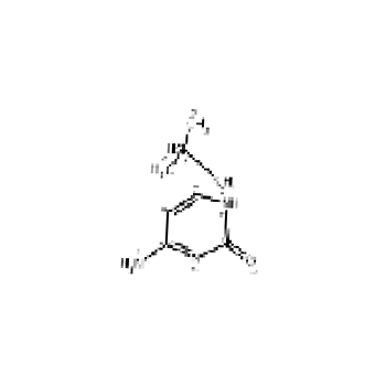 C[SiH](C)C.Nc1cc[nH]c(=O)n1